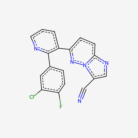 N#Cc1cnc2ccc(-c3cccnc3-c3ccc(F)c(Cl)c3)nn12